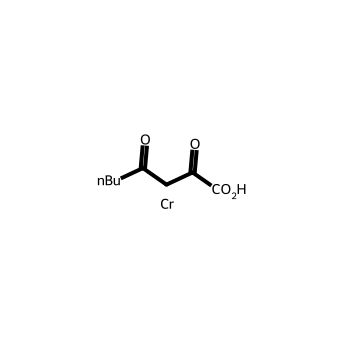 CCCCC(=O)CC(=O)C(=O)O.[Cr]